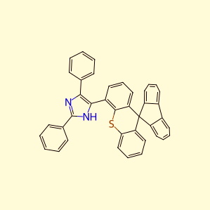 c1ccc(-c2nc(-c3ccccc3)c(-c3cccc4c3Sc3ccccc3C43c4ccccc4-c4ccccc43)[nH]2)cc1